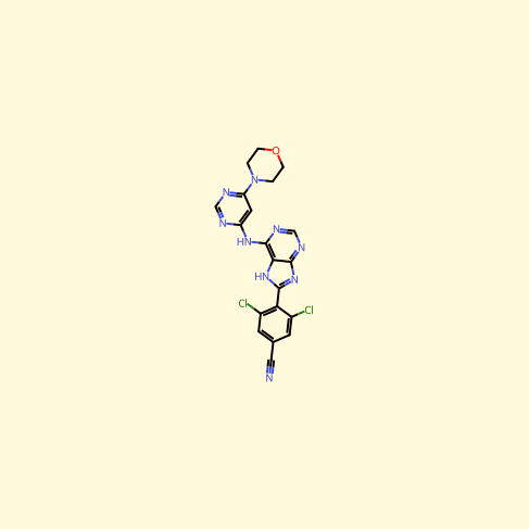 N#Cc1cc(Cl)c(-c2nc3ncnc(Nc4cc(N5CCOCC5)ncn4)c3[nH]2)c(Cl)c1